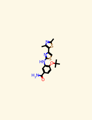 Cc1nc(C)c(-c2csc(Nc3cc(C(N)=O)ccc3OC(C)(C)C)n2)s1